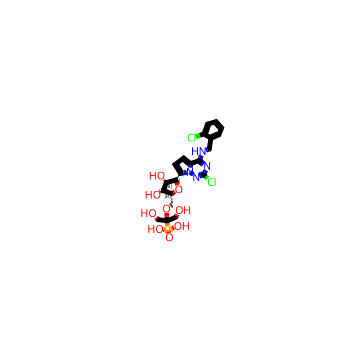 O=P(O)(O)C(CO)(CO)OC[C@H]1O[C@@H](c2ccc3c(NCc4ccccc4Cl)nc(Cl)nn23)[C@H](O)[C@@H]1O